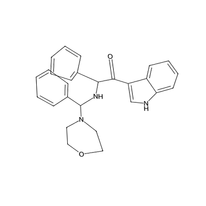 O=C(c1c[nH]c2ccccc12)C(NC(c1ccccc1)N1CCOCC1)c1ccccc1